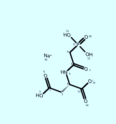 O=C(O)C[C@H](NC(=O)CP(=O)(O)O)C(=O)[O-].[Na+]